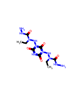 CCN(Nn1c(=O)[nH]c(=O)n(NN(CC)C(=O)NN)c1=O)C(=O)NN